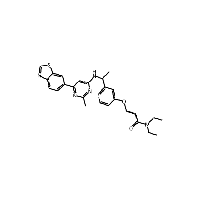 CCN(CC)C(=O)CCOc1cccc(C(C)Nc2cc(-c3ccc4ncsc4c3)nc(C)n2)c1